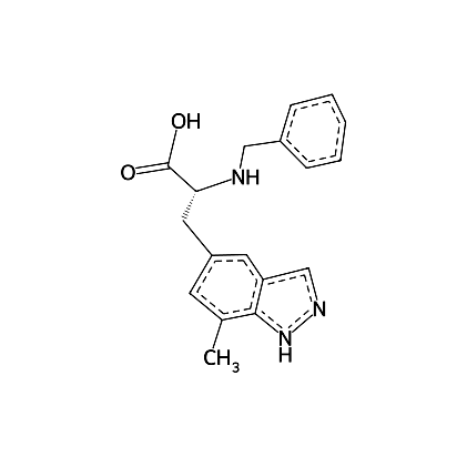 Cc1cc(C[C@@H](NCc2ccccc2)C(=O)O)cc2cn[nH]c12